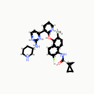 Cc1ccc2c(NC(=O)[C@@H]3CC34CC4)c(F)ccc2c1Oc1ncccc1-c1ccnc(N[C@H]2CCCNC2)n1